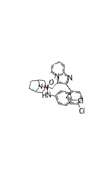 O=C(Nc1ccc(Cl)cc1)N1C2CCC1CN(Cc1c(-c3ccc(Cl)cc3)nc3ccccn13)C2